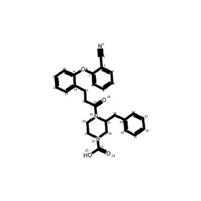 N#Cc1ccccc1Oc1ccccc1CCC(=O)N1CCN(C(=O)O)CC1Cc1ccccc1